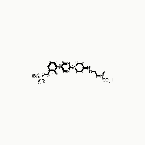 CN(CCON=C1CCN(c2ncc(-c3cccc(CO[Si](C)(C)C(C)(C)C)c3F)cn2)CC1)C(=O)O